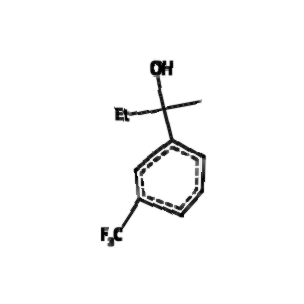 CCC(C)(O)c1cccc(C(F)(F)F)c1